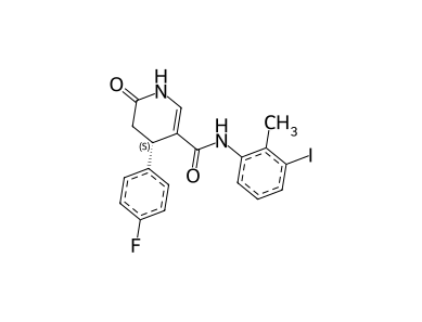 Cc1c(I)cccc1NC(=O)C1=CNC(=O)C[C@H]1c1ccc(F)cc1